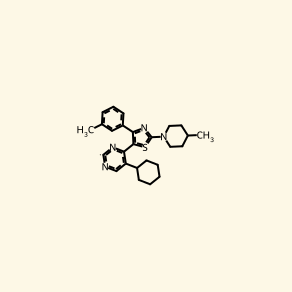 Cc1cccc(-c2nc(N3CCC(C)CC3)sc2-c2n[c]ncc2C2CCCCC2)c1